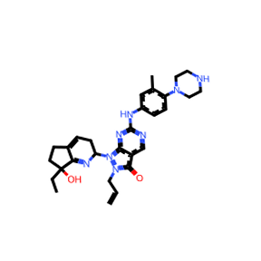 C=CCn1c(=O)c2cnc(Nc3ccc(N4CCNCC4)c(C)c3)nc2n1C1CC=C2CCC(O)(CC)C2=N1